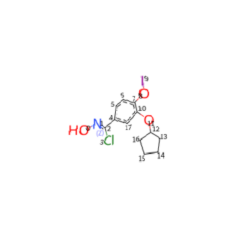 O/N=C(\Cl)c1ccc(OI)c(OC2CCCC2)c1